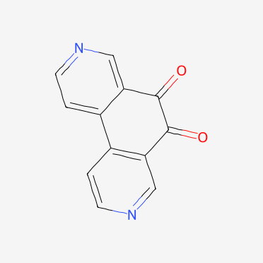 O=C1C(=O)c2cnccc2-c2ccncc21